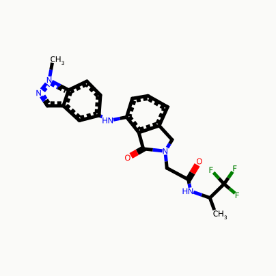 CC(NC(=O)CN1Cc2cccc(Nc3ccc4c(cnn4C)c3)c2C1=O)C(F)(F)F